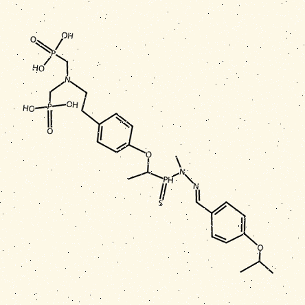 CC(C)Oc1ccc(C=NN(C)[PH](=S)C(C)Oc2ccc(CCN(CP(=O)(O)O)CP(=O)(O)O)cc2)cc1